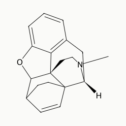 CN1CC[C@]23c4c5cccc4OC2C2C=CC3(CC2)[C@H]1C5